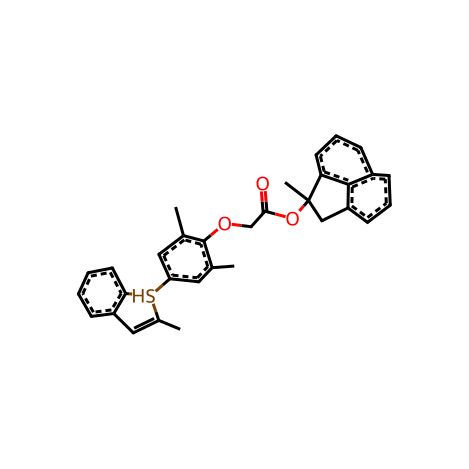 CC1=Cc2ccccc2[SH]1c1cc(C)c(OCC(=O)OC2(C)Cc3cccc4cccc2c34)c(C)c1